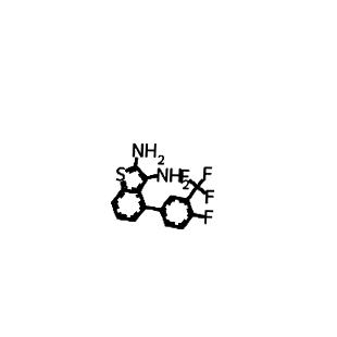 Nc1sc2cccc(-c3ccc(F)c(C(F)(F)F)c3)c2c1N